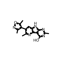 Cc1nc(O)c2c(n1)[nH]c1cc(-c3c(C)noc3C)c(C)nc12